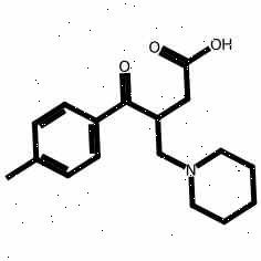 Cc1ccc(C(=O)C(CC(=O)O)CN2CCCCC2)cc1